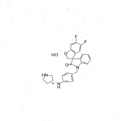 Cl.O=C1N(Cc2ccc(N[C@@H]3CCNC3)cc2)c2ccccc2C12COc1cc(F)c(F)cc12